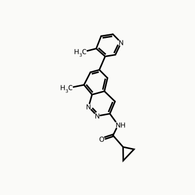 Cc1ccncc1-c1cc(C)c2nnc(NC(=O)C3CC3)cc2c1